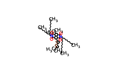 CCCCCCCCCCC(CCCCCCCC)CN1C(=O)c2cc(C(C)C)c3c4c(cc(-c5ccc(-c6ccc(C(C)C)s6)s5)c(c24)C1=O)C(=O)N(CC(CCCCCCCC)CCCCCCCCCC)C3=O